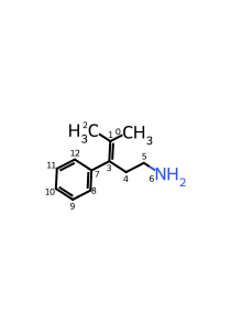 CC(C)=C(CCN)c1ccccc1